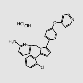 Cl.Cl.Nc1cccc(Cn2c(-c3ccc(Oc4ccncc4)cc3)ccc2-c2ccccc2Cl)n1